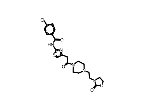 O=C(Nc1nc(CC(=O)N2CCN(CCN3CCOC3=O)CC2)cs1)c1ccc(Cl)cc1